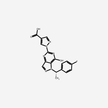 C[C@@H](c1ccc(F)cc1)n1ncc2nc(-n3cc(C(=O)O)cn3)nc(O)c21